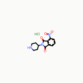 Cl.O=C1c2cccc([N+](=O)[O-])c2C(=O)N1C1CCNCC1